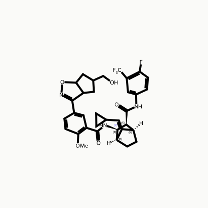 COc1ccc(C2=NOC3CC(CO)CC23)cc1C(=O)N[C@H]1[C@@H](C(=O)Nc2ccc(F)c(C(F)(F)F)c2)[C@H]2CC[C@@H]1/C2=C\C1CC1